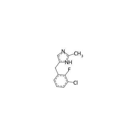 Cc1ncc(Cc2cccc(Cl)c2F)[nH]1